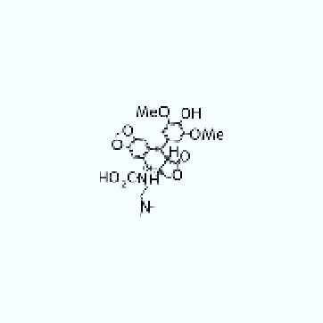 COc1cc([C@@H]2c3cc4c(cc3[C@@H](N(CCN(C)C)C(=O)O)[C@H]3COC(=O)[C@@H]23)OCO4)cc(OC)c1O